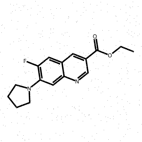 CCOC(=O)c1cnc2cc(N3CCCC3)c(F)cc2c1